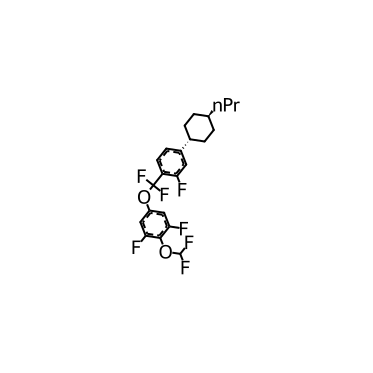 CCC[C@H]1CC[C@H](c2ccc(C(F)(F)Oc3cc(F)c(OC(F)F)c(F)c3)c(F)c2)CC1